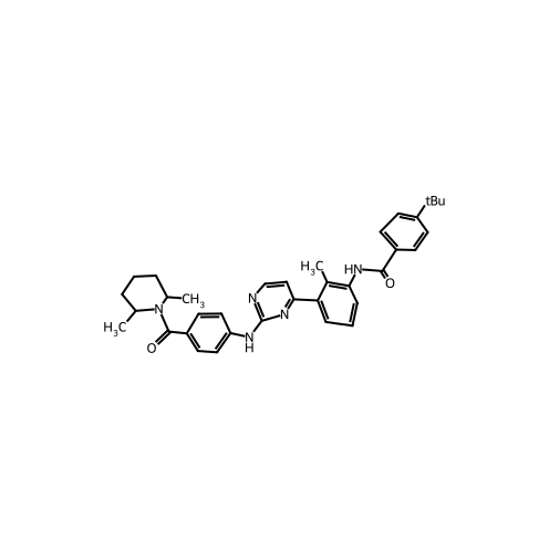 Cc1c(NC(=O)c2ccc(C(C)(C)C)cc2)cccc1-c1ccnc(Nc2ccc(C(=O)N3C(C)CCCC3C)cc2)n1